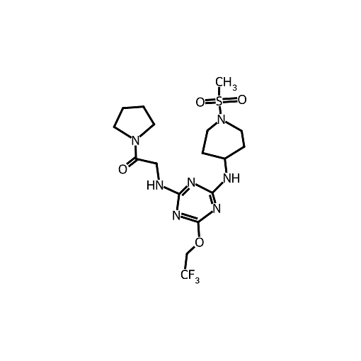 CS(=O)(=O)N1CCC(Nc2nc(NCC(=O)N3CCCC3)nc(OCC(F)(F)F)n2)CC1